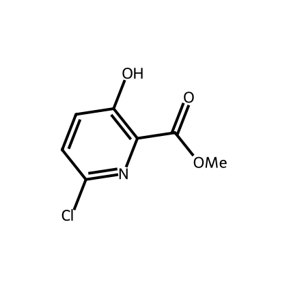 COC(=O)c1nc(Cl)ccc1O